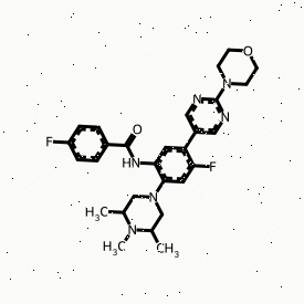 CC1CN(c2cc(F)c(-c3cnc(N4CCOCC4)nc3)cc2NC(=O)c2ccc(F)cc2)CC(C)N1C